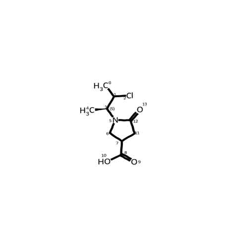 CC(Cl)[C@H](C)N1CC(C(=O)O)CC1=O